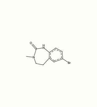 CN1CCc2cc(Br)ccc2NC1=O